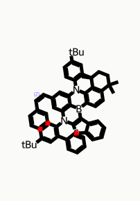 CC(C)(C)c1ccc(N2c3cc(/C=C\c4ccccc4)cc4c3B(c3ccc5c6c3N4c3ccc(C(C)(C)C)cc3C6(C)CCC5(C)C)c3c2sc2ccccc32)c(-c2ccccc2)c1